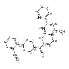 N#Cc1ccccc1N1CCN(C(=O)C2=CSc3c(O)nc(C4=CCCC=N4)nc3C2)CC1